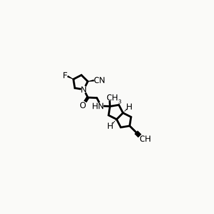 C#CC1C[C@@H]2CC(C)(NCC(=O)N3C[C@@H](F)C[C@H]3C#N)C[C@@H]2C1